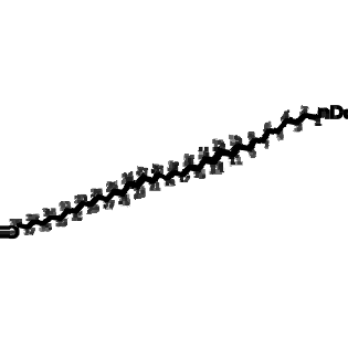 CCCCCCCCCCCCCCCCCCCCCCCCCCCCCCCCCCCCCCCCCCCCCCCCO